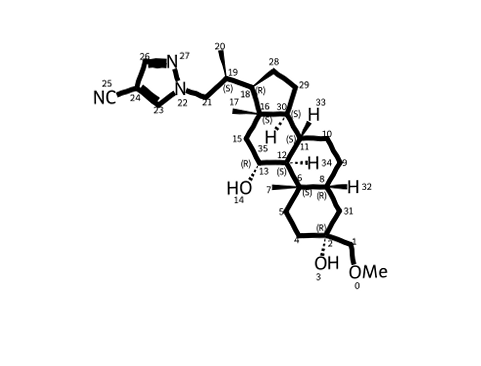 COC[C@@]1(O)CC[C@@]2(C)[C@H](CC[C@@H]3[C@@H]2[C@H](O)C[C@]2(C)[C@@H]([C@H](C)Cn4cc(C#N)cn4)CC[C@@H]32)C1